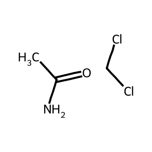 CC(N)=O.ClCCl